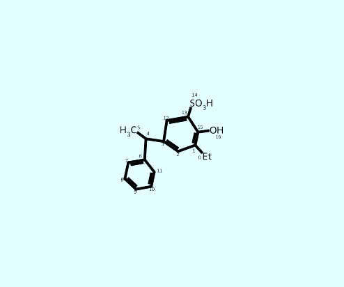 CCc1cc(C(C)c2ccccc2)cc(S(=O)(=O)O)c1O